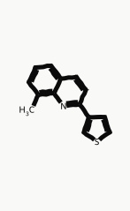 Cc1cccc2c[c]c(-c3ccsc3)nc12